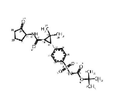 CC(C)(C)OC(=O)NS(=O)(=O)c1ccc([C@@H]2[C@@H](C(=O)NC3CCCC3=O)C2(C)C)cc1